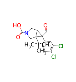 CC(C)(C)C12CN(C(=O)O)CC1C2(C=O)c1ccc(Cl)c(Cl)c1